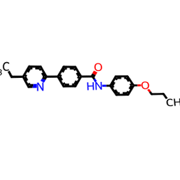 CCCOc1ccc(NC(=O)c2ccc(-c3ccc(CC)cn3)cc2)cc1